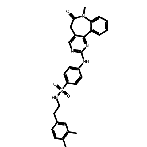 Cc1ccc(CCNS(=O)(=O)c2ccc(Nc3ncc4c(n3)-c3ccccc3N(C)C(=O)C4)cc2)cc1C